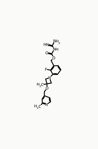 Cc1cc(COC2(C)CN(c3cccc(COC(=O)NC(=N)N)c3F)C2)ccn1